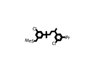 CSCc1cc(Cl)cc(C(C)(C)CCC(C)c2cc(Cl)cc(C(C)C)c2)c1